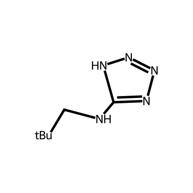 CC(C)(C)CNc1nnn[nH]1